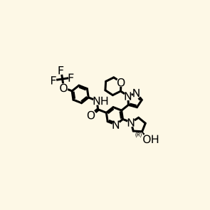 O=C(Nc1ccc(OC(F)(F)F)cc1)c1cnc(N2CC[C@@H](O)C2)c(-c2ccnn2C2CCCCO2)c1